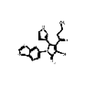 C=C1C(O)=C(C(=O)CCC)C(c2cc[nH]n2)N1c1ccc2[nH]cnc2c1